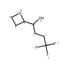 OC(CCC(F)(F)F)C1CCO1